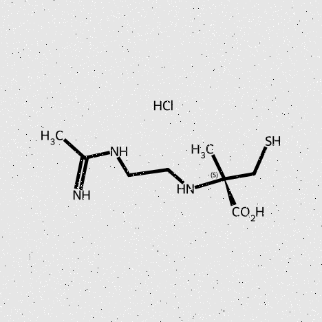 CC(=N)NCCN[C@](C)(CS)C(=O)O.Cl